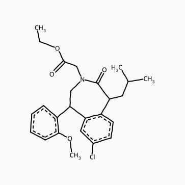 CCOC(=O)CN1CC(c2ccccc2OC)c2cc(Cl)ccc2C(CC(C)C)C1=O